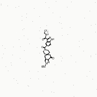 CC(C)(C)n1cc2c(n1)C(=O)CC1(CCN(C(=O)c3ccc4[nH]nc(C(=O)NCC(F)(F)F)c4c3)CC1)C2